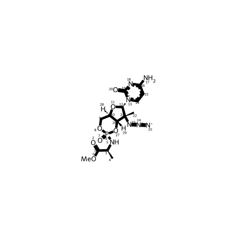 COC(=O)[C@H](C)NP1(=O)OC[C@H]2O[C@H](n3ccc(N)nc3=O)[C@](C)(N=[N+]=[N-])[C@@H]2O1